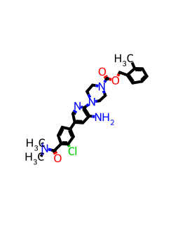 Cc1ccccc1COC(=O)N1CCN(c2ncc(-c3ccc(C(=O)N(C)C)c(Cl)c3)cc2N)CC1